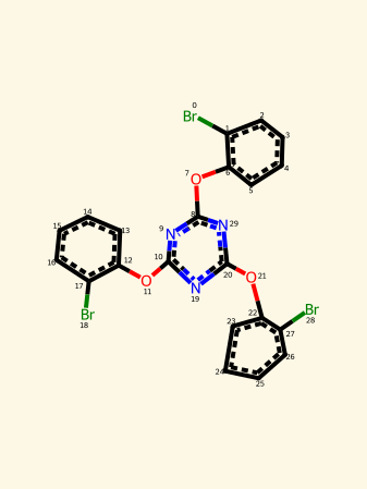 Brc1ccccc1Oc1nc(Oc2ccccc2Br)nc(Oc2ccccc2Br)n1